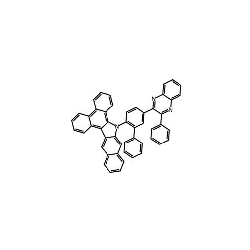 c1ccc(-c2cc(-c3nc4ccccc4nc3-c3ccccc3)ccc2-n2c3cc4ccccc4cc3c3c4ccccc4c4ccccc4c32)cc1